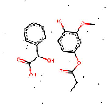 CCC(=O)Oc1ccc(O)c(OC)c1.O=C(O)C(O)c1ccccc1